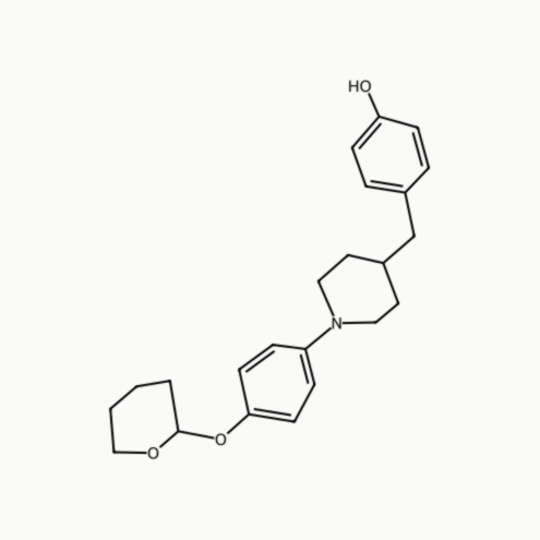 Oc1ccc(CC2CCN(c3ccc(OC4CCCCO4)cc3)CC2)cc1